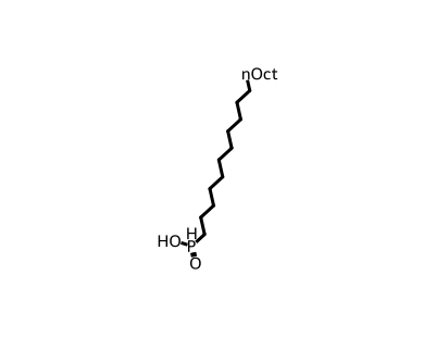 CCCCCCCCCCCCCCCCCCC[PH](=O)O